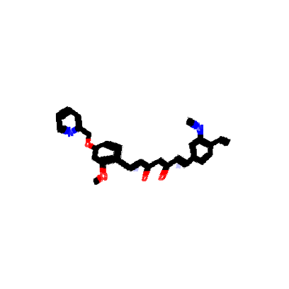 C=Cc1ccc(/C=C/C(=O)CC(=O)/C=C/c2ccc(OCc3ccccn3)cc2OC)cc1N=C